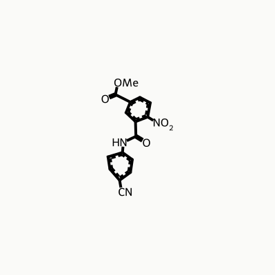 COC(=O)c1ccc([N+](=O)[O-])c(C(=O)Nc2ccc(C#N)cc2)c1